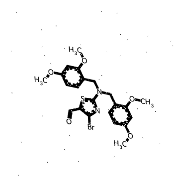 COc1ccc(CN(Cc2ccc(OC)cc2OC)c2nc(Br)c(C=O)s2)c(OC)c1